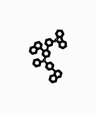 c1ccc(N(c2ccc(-c3cccc4ccccc34)cc2)c2ccc(-c3cccc(-n4c5ccccc5c5ccccc54)c3)c(-c3cccc4ccccc34)c2)cc1